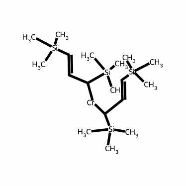 C[Si](C)(C)C=C[CH]([Cr][CH](C=C[Si](C)(C)C)[Si](C)(C)C)[Si](C)(C)C